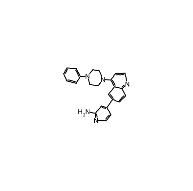 Nc1cc(-c2ccc3nccc(N4CCN(c5ccccc5)CC4)c3c2)ccn1